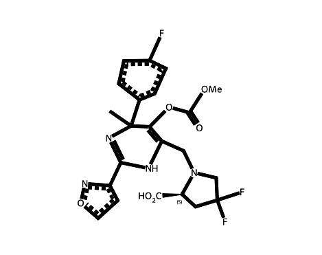 COC(=O)OC1=C(CN2CC(F)(F)C[C@H]2C(=O)O)NC(c2ccon2)=NC1(C)c1ccc(F)cc1